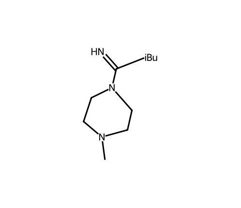 CCC(C)C(=N)N1CCN(C)CC1